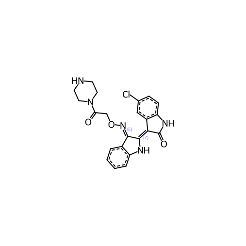 O=C1Nc2ccc(Cl)cc2/C1=C1/Nc2ccccc2/C1=N\OCC(=O)N1CCNCC1